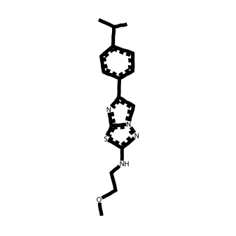 COCCNc1nn2cc(-c3ccc(C(C)C)cc3)nc2s1